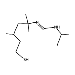 CC(CCS)CC(C)(C)/N=C/NC(C)C